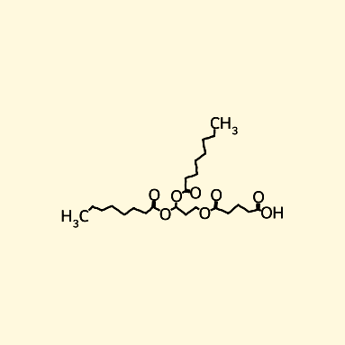 CCCCCCCC(=O)OC(CCOC(=O)CCCC(=O)O)OC(=O)CCCCCCC